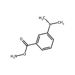 CN(C)c1cccc(C(=O)ON)c1